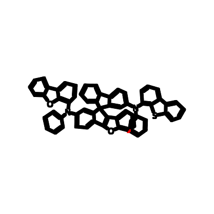 c1ccc(N(c2ccc3c(c2)C2(c4ccccc4-c4ccc(N(c5ccccc5)c5cccc6c5sc5ccccc56)cc42)c2c-3oc3ccccc23)c2cccc3c2oc2ccccc23)cc1